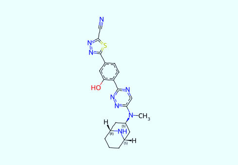 CN(c1cnc(-c2ccc(-c3nnc(C#N)s3)cc2O)nn1)[C@@H]1C[C@H]2CCC[C@@H](C1)N2